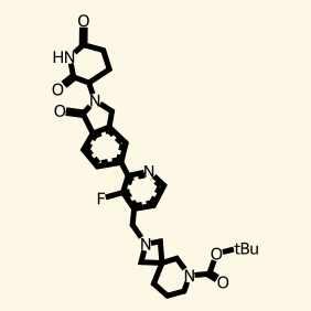 CC(C)(C)OC(=O)N1CCCC2(CN(Cc3ccnc(-c4ccc5c(c4)CN(C4CCC(=O)NC4=O)C5=O)c3F)C2)C1